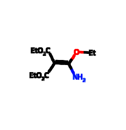 CCOC(=O)C(C(=O)OCC)=C(N)OCC